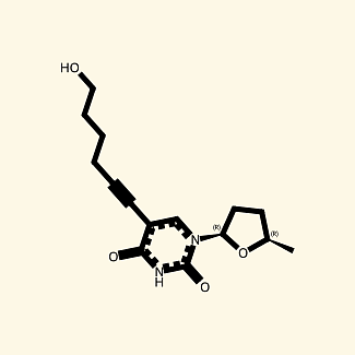 C[C@@H]1CC[C@H](n2cc(C#CCCCCO)c(=O)[nH]c2=O)O1